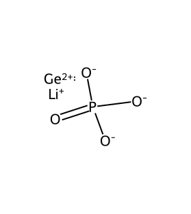 O=P([O-])([O-])[O-].[Ge+2].[Li+]